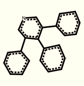 [c]1cccc(-c2c(-c3ccccc3)cncc2-c2ccccc2)c1